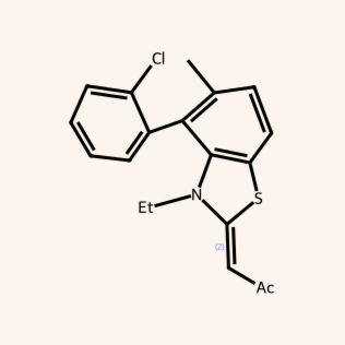 CCN1/C(=C/C(C)=O)Sc2ccc(C)c(-c3ccccc3Cl)c21